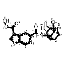 COC(=O)c1csc2cnc(C(=O)N[C@@H]3C4CCN(CC4)[C@H]3C)cc12